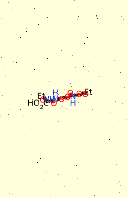 CCOCCOCCNC(=O)COCCOCCNC(=O)CCC(NC(=O)CC)C(=O)O